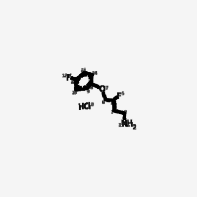 Cl.NCC=C(F)COc1ccc(F)cc1